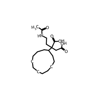 CC(=O)NCCC(CC(=O)O)(C(=O)O)C1CCCCCCCCCCC1